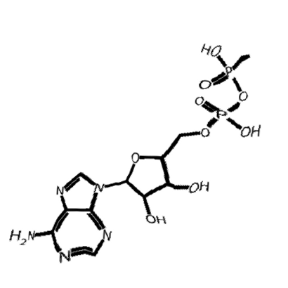 CP(=O)(O)OP(=O)(O)OCC1OC(n2cnc3c(N)ncnc32)C(O)C1O